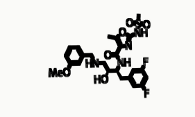 COc1cccc(CNC[C@@H](O)[C@H](Cc2cc(F)cc(F)c2)NC(=O)c2nc(NS(C)(=O)=O)oc2C)c1